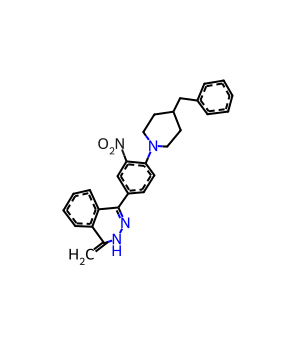 C=C1NN=C(c2ccc(N3CCC(Cc4ccccc4)CC3)c([N+](=O)[O-])c2)c2ccccc21